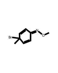 CON=C1C=CC(C)(Br)C=C1